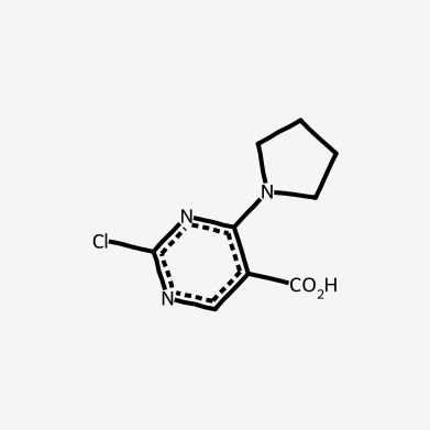 O=C(O)c1cnc(Cl)nc1N1CCCC1